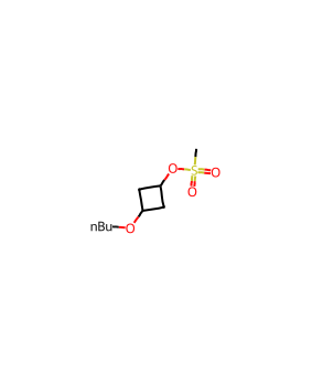 CCCCOC1CC(OS(C)(=O)=O)C1